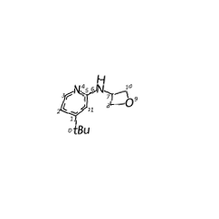 CC(C)(C)c1ccnc(NC2COC2)c1